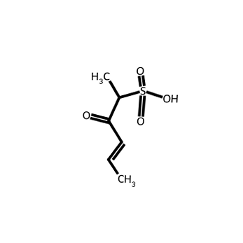 CC=CC(=O)C(C)S(=O)(=O)O